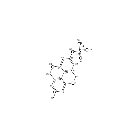 Cc1cc2c3c(c1)OCc1cc(OS(=O)(=O)C(F)(F)F)cc(c1-3)OC2